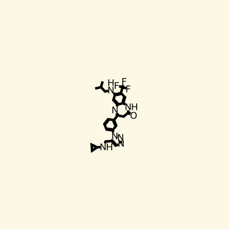 CC(C)CNc1cc2c(cc1C(F)(F)F)NC(=O)CC(c1cccc(-n3nncc3CNC3CC3)c1)=N2